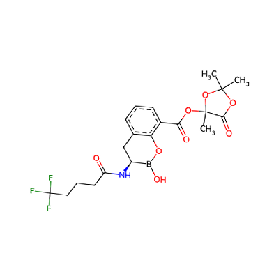 CC1(C)OC(=O)C(C)(OC(=O)c2cccc3c2OB(O)[C@@H](NC(=O)CCCC(F)(F)F)C3)O1